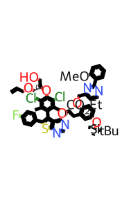 C=CCOC[C@H](CO)Oc1c(Cl)c(C)c(-c2c(-c3ccc(F)cc3)sc3ncnc(O[C@H](Cc4cc(O[Si](C)(C)C(C)(C)C)ccc4OCc4ccnc(-c5ccccc5OC)n4)C(=O)OCC)c23)c(C)c1Cl